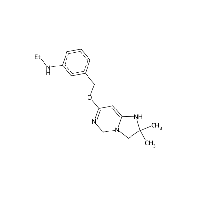 CCNc1cccc(COC2=NCN3CC(C)(C)NC3=C2)c1